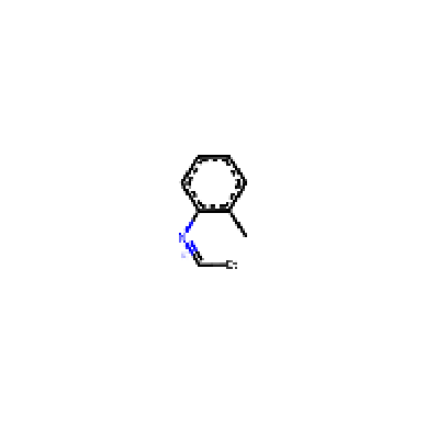 CC/C=N\c1ccccc1C